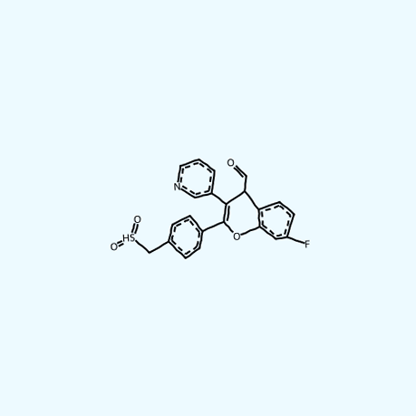 O=CC1C(c2cccnc2)=C(c2ccc(C[SH](=O)=O)cc2)Oc2cc(F)ccc21